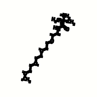 COCCOCCOCCOCCNC(=O)C(C)(C)N